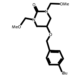 CCC(C)c1ccc(COC2CN(COC)C(=O)N(COC)C2)cc1